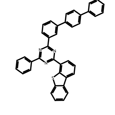 c1ccc(-c2ccc(-c3cccc(-c4nc(-c5ccccc5)nc(-c5cccc6c5sc5ccccc56)n4)c3)cc2)cc1